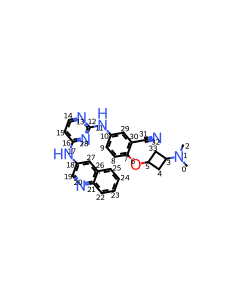 CN(C)C1CC(Oc2ccc(Nc3nccc(Nc4cnc5ccccc5c4)n3)cc2C#N)C1